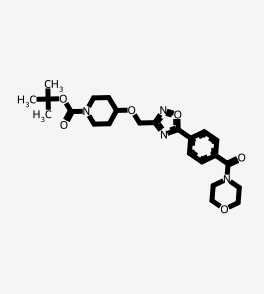 CC(C)(C)OC(=O)N1CCC(OCc2noc(-c3ccc(C(=O)N4CCOCC4)cc3)n2)CC1